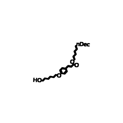 CCCCCCCCCCCCCCCCOC(=O)C=Cc1ccc(OCCCCCCO)cc1